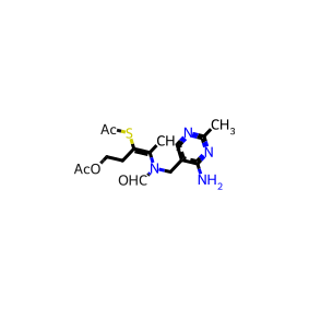 CC(=O)OCC/C(SC(C)=O)=C(/C)N(C=O)Cc1cnc(C)nc1N